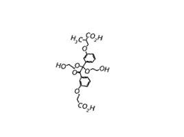 CC(COc1cccc(C(OCCO)(OCCO)C(=O)c2cccc(OCCC(=O)O)c2)c1)C(=O)O